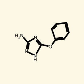 Nc1n[nH]c(Oc2ccccc2)n1